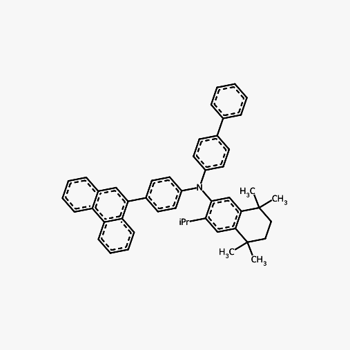 CC(C)c1cc2c(cc1N(c1ccc(-c3ccccc3)cc1)c1ccc(-c3cc4ccccc4c4ccccc34)cc1)C(C)(C)CCC2(C)C